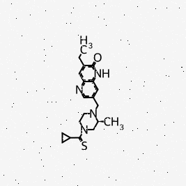 CCc1cc2ncc(CN3CCN(C(=S)C4CC4)C[C@@H]3C)cc2[nH]c1=O